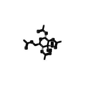 CC(=O)OC[C@H]1O[C@H](OC(C)=O)[C@@H](OC(C)=O)C(O)(O)[C@@H]1OC(C)=O